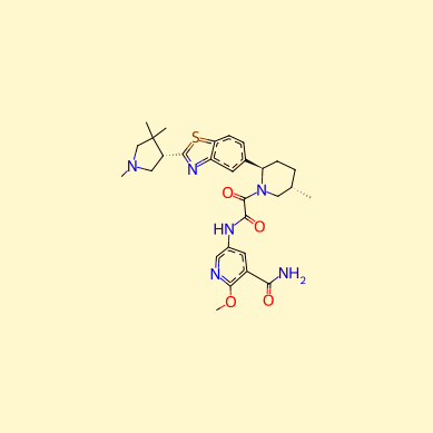 COc1ncc(NC(=O)C(=O)N2C[C@@H](C)CC[C@@H]2c2ccc3sc([C@@H]4CN(C)CC4(C)C)nc3c2)cc1C(N)=O